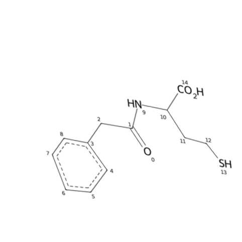 O=C(Cc1ccccc1)NC(CCS)C(=O)O